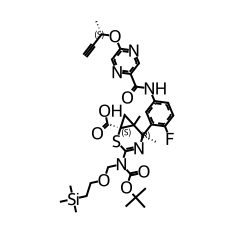 C#C[C@H](C)Oc1cnc(C(=O)Nc2ccc(F)c([C@@]3(C)N=C(N(COCC[Si](C)(C)C)C(=O)OC(C)(C)C)S[C@@]4(C(=O)O)CC43C)c2)cn1